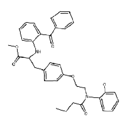 CCCC(=O)N(CCOc1ccc(CC(Nc2ccccc2C(=O)c2ccccc2)C(=O)OC)cc1)c1ccccc1Cl